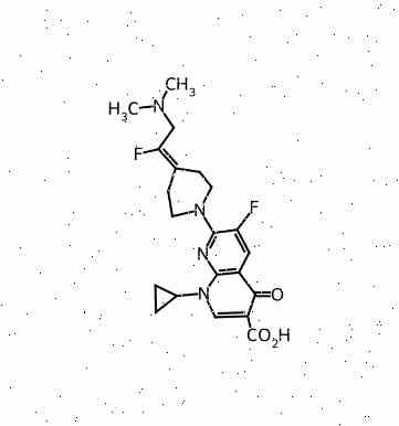 CN(C)CC(F)=C1CCN(c2nc3c(cc2F)c(=O)c(C(=O)O)cn3C2CC2)CC1